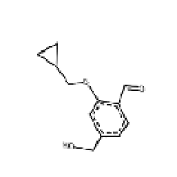 O=Cc1ccc(CO)cc1OCC1CC1